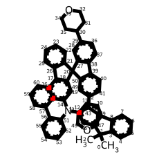 CC1(C)c2ccccc2-c2ccc(N(c3ccc4c(c3)C3(c5ccccc5-4)c4cc(C5CCOCC5)ccc4-c4ccc(C5CCOCC5)cc43)c3ccccc3-c3ccccc3)cc21